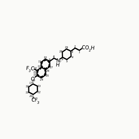 O=C(O)CCC1CCC(NCc2ccc3c(C(F)(F)F)c(O[C@H]4CC[C@@H](C(F)(F)F)CC4)ccc3c2)CC1